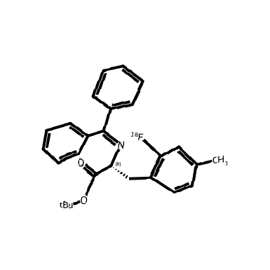 Cc1ccc(C[C@@H](N=C(c2ccccc2)c2ccccc2)C(=O)OC(C)(C)C)c([18F])c1